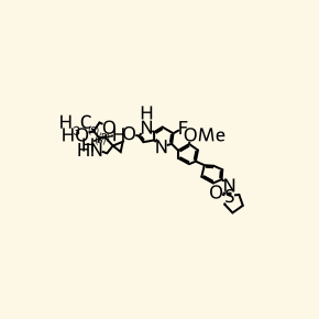 COc1cc(-c2ccc(N=S3(=O)CCCC3)cc2)ccc1-c1nc2cc(OC3CC34CN[C@H]3[C@@H]4OC[C@@]3(C)O)[nH]c2cc1F